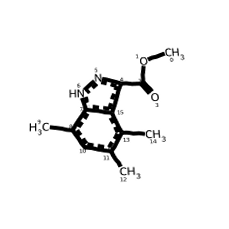 COC(=O)c1n[nH]c2c(C)cc(C)c(C)c12